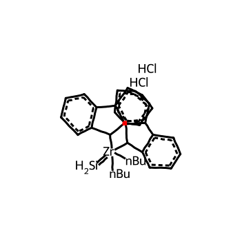 CCC[CH2][Zr](=[SiH2])([CH2]CCC)([CH]1c2ccccc2-c2ccccc21)[CH]1c2ccccc2-c2ccccc21.Cl.Cl